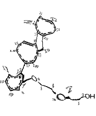 OCCOCCOc1ccccc1-c1ccc2c(c1)Cc1ccccc1-2